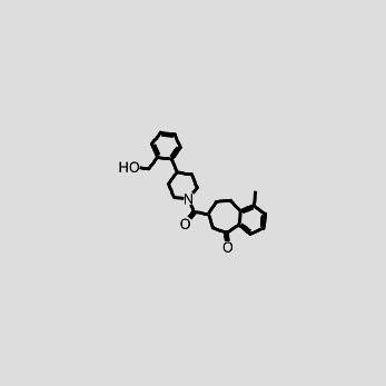 Cc1cccc2c1CCC(C(=O)N1CCC(c3ccccc3CO)CC1)CC2=O